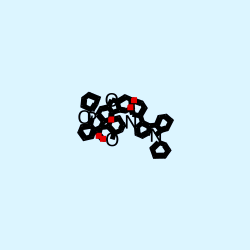 O=P1(c2ccccc2)c2ccccc2C2(c3ccccc3Oc3cc(-n4c5ccccc5c5c6c7ccccc7n(-c7ccccc7)c6ccc54)ccc32)c2cc3c(cc21)oc1ccccc13